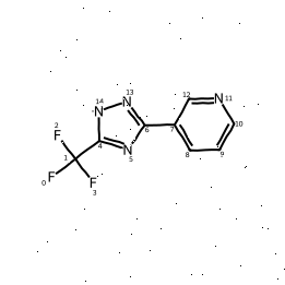 FC(F)(F)C1=NC(c2cccnc2)=N[N]1